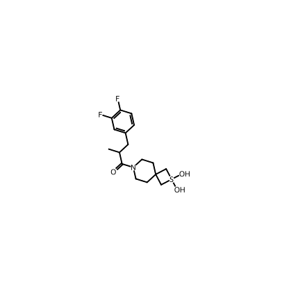 CC(Cc1ccc(F)c(F)c1)C(=O)N1CCC2(CC1)CS(O)(O)C2